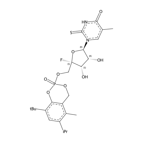 Cc1c(C(C)C)cc(C(C)(C)C)c2c1COP(=O)(OC[C@@]1(F)O[C@@H](n3cc(C)c(=O)[nH]c3=S)[C@H](O)[C@@H]1O)O2